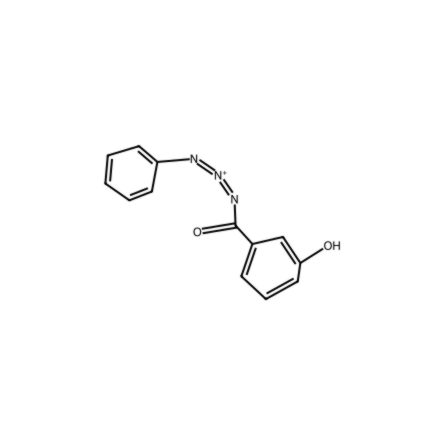 O=C(N=[N+]=Nc1ccccc1)c1cccc(O)c1